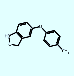 Cc1ccc(Oc2ccc3c(c2)COB3)cc1